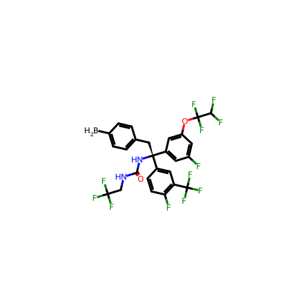 Bc1ccc(C[C@@](NC(=O)NCC(F)(F)F)(c2cc(F)cc(OC(F)(F)C(F)F)c2)c2ccc(F)c(C(F)(F)F)c2)cc1